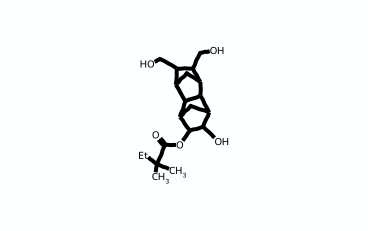 CCC(C)(C)C(=O)OC1C(O)C2CC1C1C3CC(C(CO)C3CO)C21